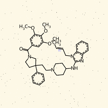 C/C=C/Cn1c(NC2CCN(CCC3(c4ccccc4)CCN(C(=O)c4cc(OC)c(OC)c(OC)c4)C3)CC2)nc2ccccc21